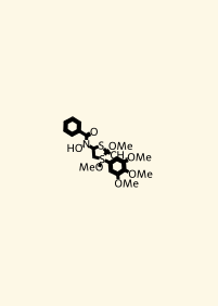 COc1cc(S2(OC)CC(N(O)C(=O)c3ccccc3)SC2(C)OC)cc(OC)c1OC